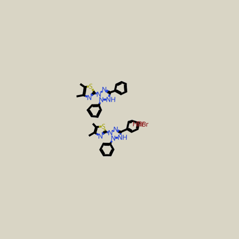 Br.Br.Cc1nc(N2N=C(c3ccccc3)NN2c2ccccc2)sc1C.Cc1nc(N2N=C(c3ccccc3)NN2c2ccccc2)sc1C